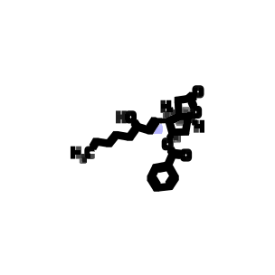 CCCCCC(O)/C=C/[C@@H]1[C@H]2CC(=O)O[C@H]2C[C@H]1OC(=O)c1ccccc1